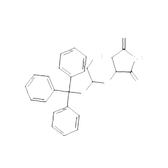 CCC(OC1CC(=O)NC1=O)SC(c1ccccc1)(c1ccccc1)c1ccccc1